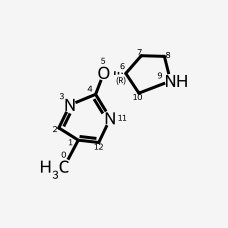 Cc1cnc(O[C@@H]2CCNC2)nc1